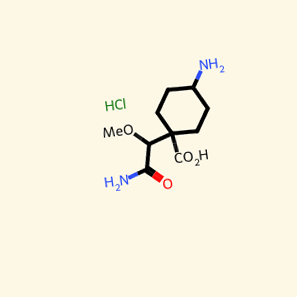 COC(C(N)=O)C1(C(=O)O)CCC(N)CC1.Cl